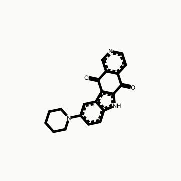 O=C1c2ccncc2C(=O)c2c1[nH]c1ccc(N3CCCCC3)cc21